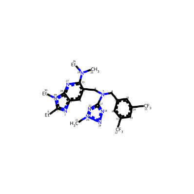 CCc1nc2cc(CN(Cc3cc(C(F)(F)F)cc(C(F)(F)F)c3)c3nnn(C)n3)c(N(C)CC)nc2n1CC